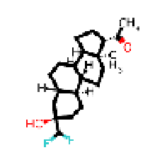 CC(=O)[C@H]1CC[C@H]2[C@@H]3CC[C@H]4C[C@@](O)(C(F)F)CC[C@@H]4[C@H]3CC[C@]12C